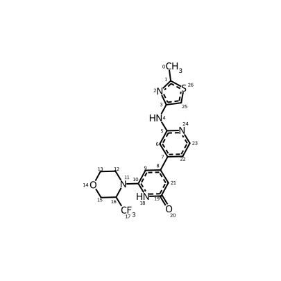 Cc1nc(Nc2cc(-c3cc(N4CCOCC4C(F)(F)F)[nH]c(=O)c3)ccn2)cs1